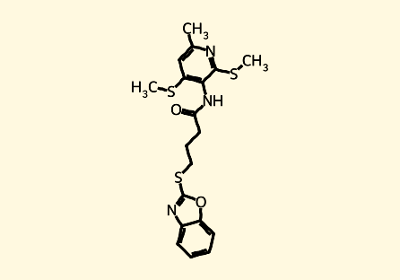 CSc1cc(C)nc(SC)c1NC(=O)CCCSc1nc2ccccc2o1